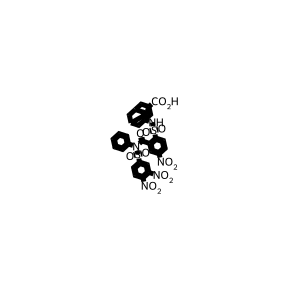 O=C(c1cc([N+](=O)[O-])ccc1S(=O)(=O)NC12CC3CC(C1)CC(C(=O)O)(C3)C2)N(c1ccccc1)S(=O)(=O)c1ccc([N+](=O)[O-])c([N+](=O)[O-])c1